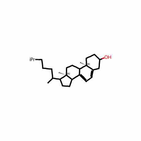 CC(C)CCCC(C)C1CCC2C3=CC=C4CC(O)CC[C@]4(C)C3CC[C@@]21C